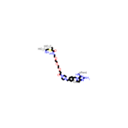 CCCCCNc1nc(N)nc2ccn(Cc3ccc(CN4CCN(C(=O)CCOCCOCCOCCNC(=O)C(CC(=O)O)SCC(N)C(=O)O)CC4)cc3OC)c12